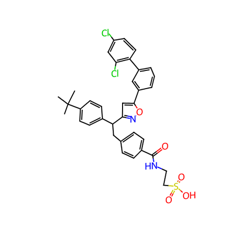 CC(C)(C)c1ccc(C(Cc2ccc(C(=O)NCCS(=O)(=O)O)cc2)c2cc(-c3cccc(-c4ccc(Cl)cc4Cl)c3)on2)cc1